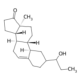 CCC(O)C1CCC2=CC[C@@H]3[C@H](CC[C@]4(C)C(=O)CC[C@@H]34)[C@H]2C1